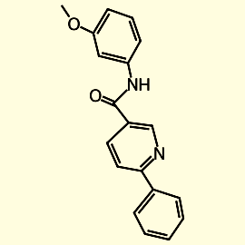 COc1cccc(NC(=O)c2ccc(-c3ccccc3)nc2)c1